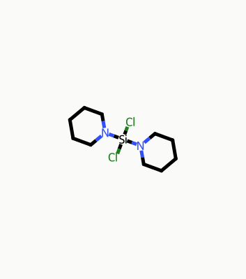 Cl[Si](Cl)(N1CCCCC1)N1CCCCC1